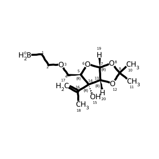 BCCOC[C@H]1O[C@@H]2OC(C)(C)O[C@@H]2[C@@]1(O)C(=C)C